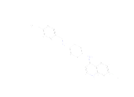 COc1ccc(CN[C@H]2CC[C@@H](Nc3ccnc4cc(Cl)ccc34)CC2)cc1